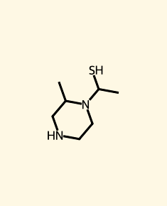 CC(S)N1CCNCC1C